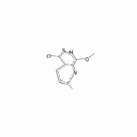 COc1nnc(Cl)c2ccc(C)nc12